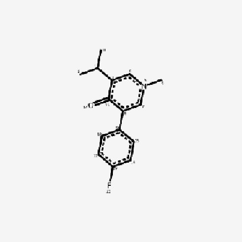 CC(C)c1cn(C)cc(-c2ccc(F)cc2)c1=O